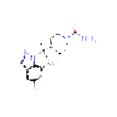 CC1(C2CCN(C(N)=O)CC2)[C@@H](O)c2cc(Cl)cc3cnn1c23